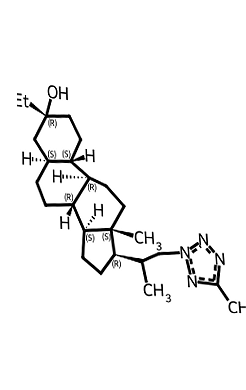 CC[C@@]1(O)CC[C@H]2[C@@H](CC[C@@H]3[C@@H]2CC[C@]2(C)[C@@H](C(C)Cn4nnc(C)n4)CC[C@@H]32)C1